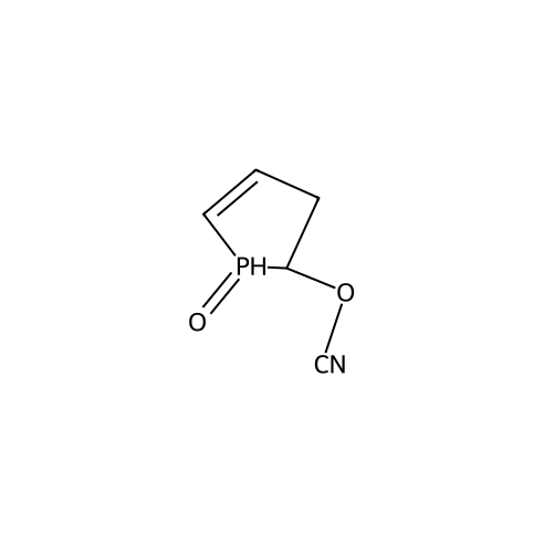 N#COC1CC=C[PH]1=O